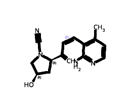 C=C(/C=C\c1c(C)ccnc1N)[C@H]1C[C@@H](O)CN1C#N